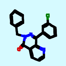 O=c1c2cccnc2c(-c2cccc(Cl)c2)nn1Cc1ccccc1